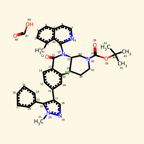 Cc1cccc2ccnc(N(C(=O)c3ccc(-c4cnn(C)c4-c4ccccc4)cc3F)[C@@H]3CCCN(C(=O)OC(C)(C)C)C3)c12.O=CO